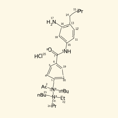 CCCC[N+](C(C)=O)(c1ccc(C(=O)Nc2ccc(CC(C)C)c(N)c2)cc1)[N+](CC)(CCCC)C(C)C.Cl